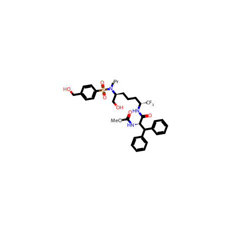 COC(=O)N[C@H](C(=O)N[C@H](CCC[C@@H](CO)N(C(C)C)S(=O)(=O)c1ccc(CO)cc1)C(F)(F)F)C(c1ccccc1)c1ccccc1